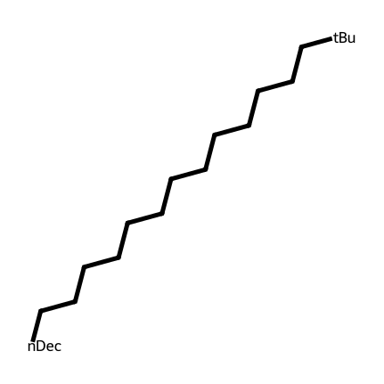 [CH2]CCCCCCCCCCCCCCCCCCCCCCC(C)(C)C